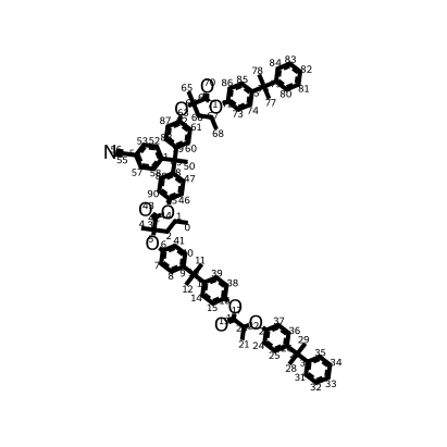 CCCC(C)(Oc1ccc(C(C)(C)c2ccc(OC(=O)C(C)Oc3ccc(C(C)(C)c4ccccc4)cc3)cc2)cc1)C(=O)Oc1ccc(C(C)(c2ccc(C#N)cc2)c2ccc(OC(C)(CCC)C(=O)Oc3ccc(C(C)(C)c4ccccc4)cc3)cc2)cc1